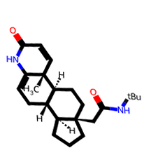 CC(C)(C)NC(=O)C[C@@]12CCC[C@H]1[C@@H]1CC=C3NC(=O)C=C[C@]3(C)[C@H]1CC2